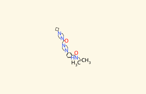 CC(C)CNC(=O)c1cccc(N2CCN(CC(=O)N3CCN(C4CCC4)CC3)CC2)c1